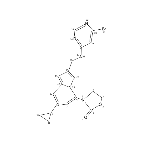 O=C1OCCN1c1cc(C2CC2)cc2cc(CNc3cc(Br)ncn3)nn12